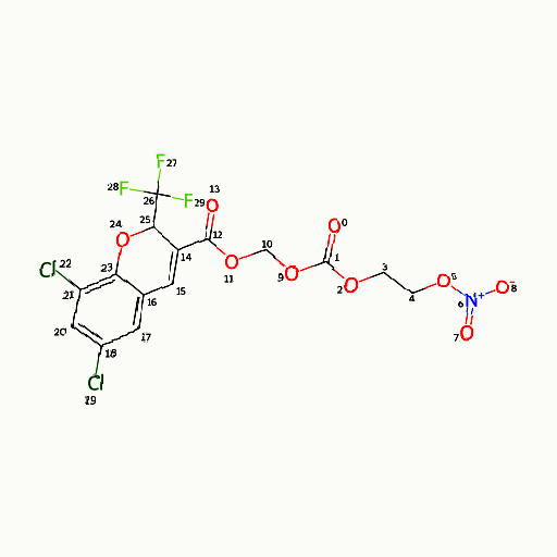 O=C(OCCO[N+](=O)[O-])OCOC(=O)C1=Cc2cc(Cl)cc(Cl)c2OC1C(F)(F)F